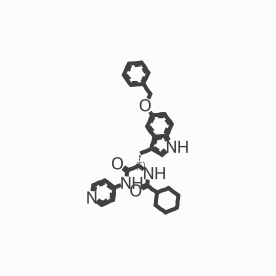 O=C(N[C@@H](Cc1c[nH]c2ccc(OCc3ccccc3)cc12)C(=O)Nc1ccncc1)C1CCCCC1